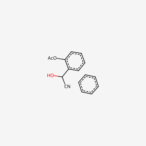 CC(=O)Oc1ccccc1C(O)C#N.c1ccccc1